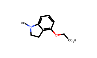 CC(=O)N1CCc2c(OCC(=O)O)cccc21